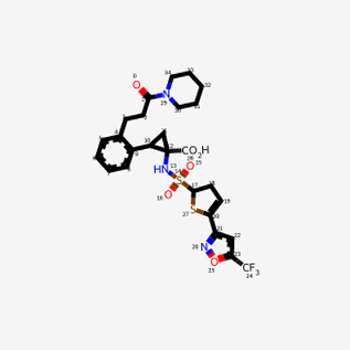 O=C(CCc1ccccc1C1CC1(NS(=O)(=O)C1CC=C(c2cc(C(F)(F)F)on2)S1)C(=O)O)N1CCCCC1